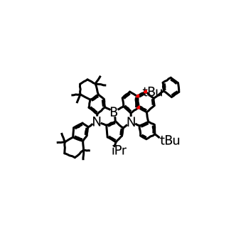 CC(C)c1cc2c3c(c1)N(c1ccc(C(C)(C)C)cc1-c1cccc(-c4ccccc4)c1)c1cc(C(C)(C)C)ccc1B3c1cc3c(cc1N2c1ccc2c(c1)C(C)(C)CCC2(C)C)C(C)(C)CCC3(C)C